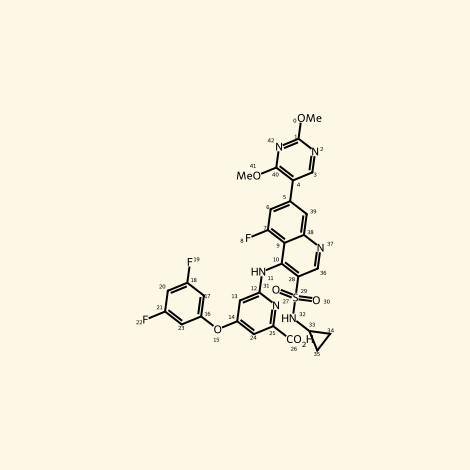 COc1ncc(-c2cc(F)c3c(Nc4cc(Oc5cc(F)cc(F)c5)cc(C(=O)O)n4)c(S(=O)(=O)NC4CC4)cnc3c2)c(OC)n1